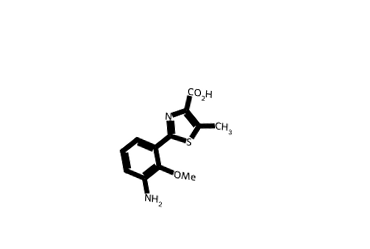 COc1c(N)cccc1-c1nc(C(=O)O)c(C)s1